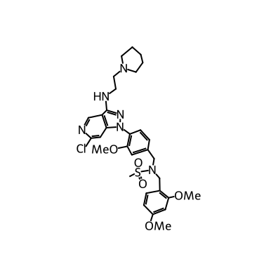 COc1ccc(CN(Cc2ccc(-n3nc(NCCN4CCCCC4)c4cnc(Cl)cc43)c(OC)c2)S(C)(=O)=O)c(OC)c1